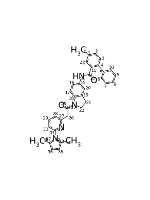 Cc1ccc(-c2ccccc2)c(C(=O)Nc2ccc3c(c2)CCN3C(=O)Cc2cccc(-n3c(C)ccc3C)n2)c1